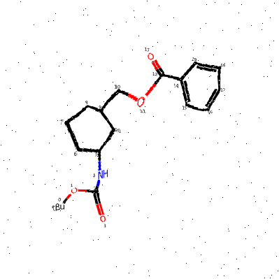 CC(C)(C)OC(=O)NC1CCCC(COC(=O)c2ccccc2)C1